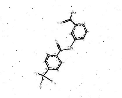 O=C(O)c1cccc(NC(=O)c2ccc(C(F)(F)F)cc2)c1